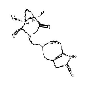 O=C1CC2=C(C=CC(CN3C(=O)[C@H]4C[C@H]4C3=O)C2)N1